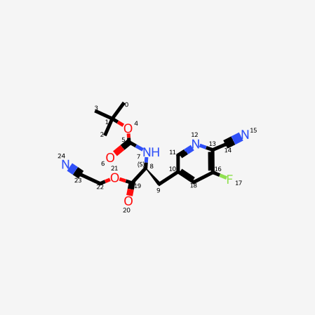 CC(C)(C)OC(=O)N[C@@H](Cc1cnc(C#N)c(F)c1)C(=O)OCC#N